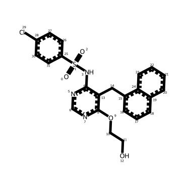 O=S(=O)(Nc1ncnc(OCCO)c1Cc1cccc2ccccc12)c1ccc(Cl)cc1